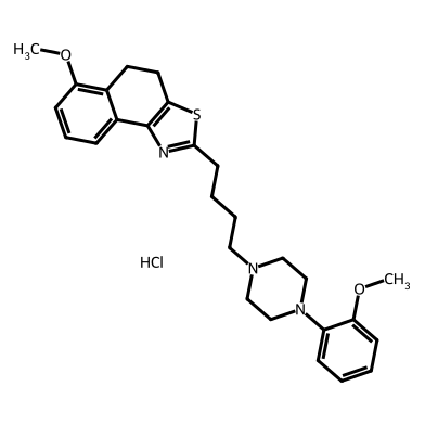 COc1ccccc1N1CCN(CCCCc2nc3c(s2)CCc2c(OC)cccc2-3)CC1.Cl